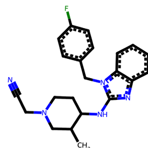 CC1CN(CC#N)CCC1Nc1nc2ccccc2n1Cc1ccc(F)cc1